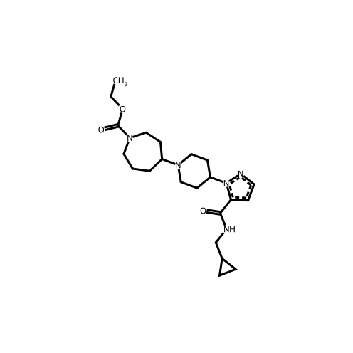 CCOC(=O)N1CCCC(N2CCC(n3nccc3C(=O)NCC3CC3)CC2)CC1